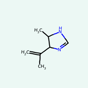 C=C(C)C1N=CNC1C